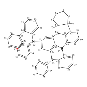 CC12CCCCC1(C)N1c3cc(N(c4ccccc4)c4ccccc4-c4ccccc4)cc4c3B(c3ccccc3N4c3ccccc3)c3cccc2c31